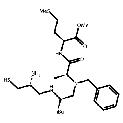 CC[C@H](C)[C@H](CN(Cc1ccccc1)[C@@H](C)C(=O)N[C@@H](CCSC)C(=O)OC)NC[C@@H](N)CS